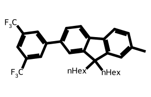 CCCCCCC1(CCCCCC)c2cc(C)ccc2-c2ccc(-c3cc(C(F)(F)F)cc(C(F)(F)F)c3)cc21